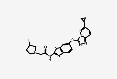 O=C(CN1CCC(F)C1)Nc1nc2ccc(Sc3nnc4ccc(C5CC5)nn34)cc2s1